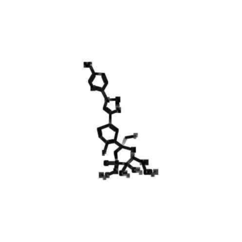 CN=[S@@]1(=O)C[C@@](CF)(c2cc(-c3cn(-c4ccc(C#N)cn4)nn3)ccc2F)N=C(NC(=O)O)C1(C)C